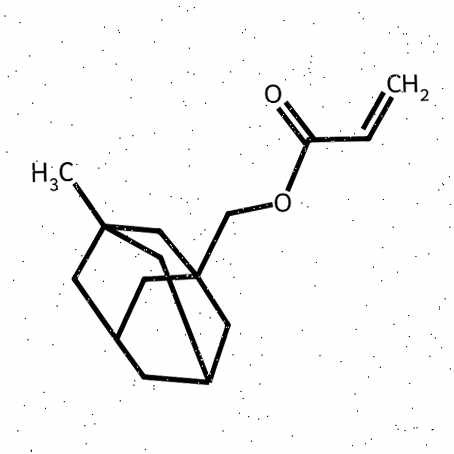 C=CC(=O)OCC12CC3CC(CC(C)(C3)C1)C2